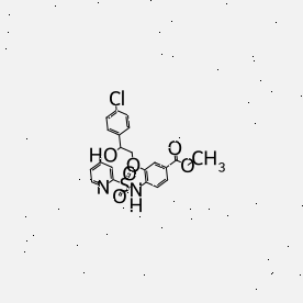 COC(=O)c1ccc(NS(=O)(=O)c2ccccn2)c(OCC(O)c2ccc(Cl)cc2)c1